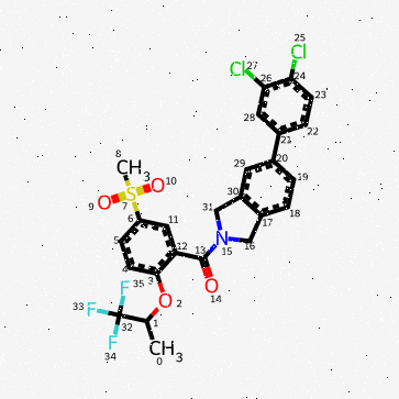 CC(Oc1ccc(S(C)(=O)=O)cc1C(=O)N1Cc2ccc(-c3ccc(Cl)c(Cl)c3)cc2C1)C(F)(F)F